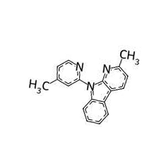 Cc1ccnc(-n2c3ccccc3c3ccc(C)nc32)c1